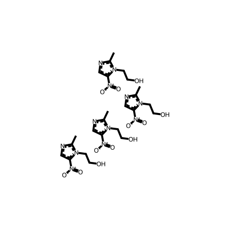 Cc1ncc([N+](=O)[O-])n1CCO.Cc1ncc([N+](=O)[O-])n1CCO.Cc1ncc([N+](=O)[O-])n1CCO.Cc1ncc([N+](=O)[O-])n1CCO